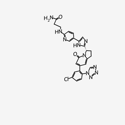 NC(=O)CCNc1ccc(-c2cnc([C@@H]3CCc4cc(-c5cc(Cl)ccc5-n5cnnn5)cc(=O)n43)[nH]2)cn1